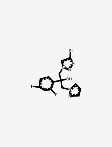 CCc1cn(CC(O)(Cn2cccn2)c2ccc(F)cc2F)nn1